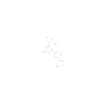 Nc1nc(-c2ccc3oc4ccncc4c3c2)c2ccc3ccccc3c2n1